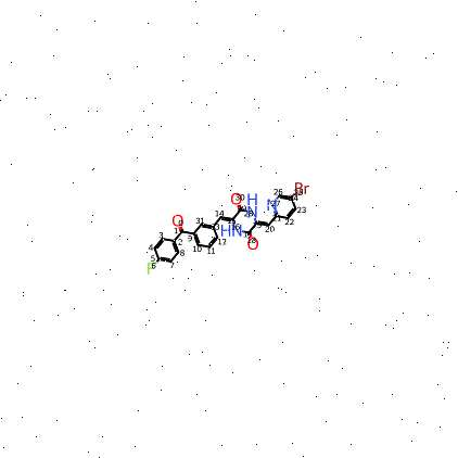 O=C(c1ccc(F)cc1)c1cccc(C=c2[nH]c(=O)c(=Cc3ccc(Br)cn3)[nH]c2=O)c1